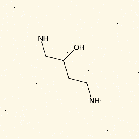 [NH]CCC(O)C[NH]